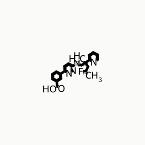 C[C@H](F)C[C@@](C)(CNc1ccc(-c2cccc(C(=O)O)c2)nn1)c1ccccn1